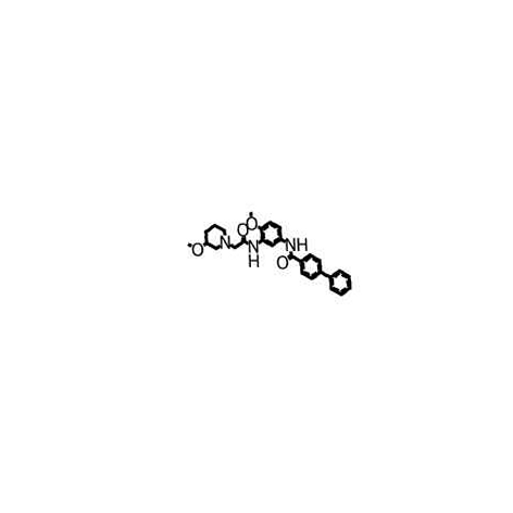 COc1ccc(NC(=O)c2ccc(-c3ccccc3)cc2)cc1NC(=O)CN1CCCC(OC)C1